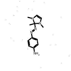 CN1C=CN(C)C1(C)N=Nc1ccc(N)cc1